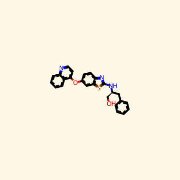 OC[C@H](Cc1ccccc1)Nc1nc2ccc(Oc3ccnc4ccccc34)cc2s1